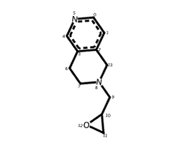 c1cc2c(cn1)CCN(CC1CO1)C2